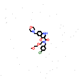 COCCOCCN(Cc1ccc(Cl)cc1)C(=O)c1c[nH]c2ccc(CN3CCOCC3)cc2c1=O